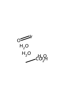 CC(=O)O.O.O.O.[O]=[Ir]